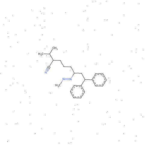 CN=NC(CCCC(C#N)C(C)C)CC(c1ccccc1)c1ccccc1